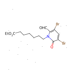 CCOC(=O)CCCCCCn1c(C=O)c(Br)cc(Br)c1=O